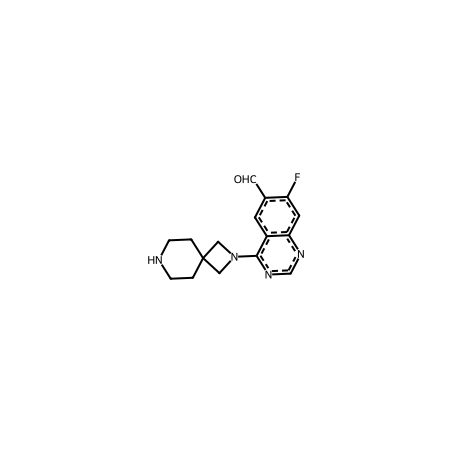 O=Cc1cc2c(N3CC4(CCNCC4)C3)ncnc2cc1F